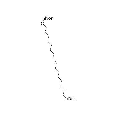 CCCCCCCCCCCCCCCCCCCCCCCCCCOCCCCCCCCC